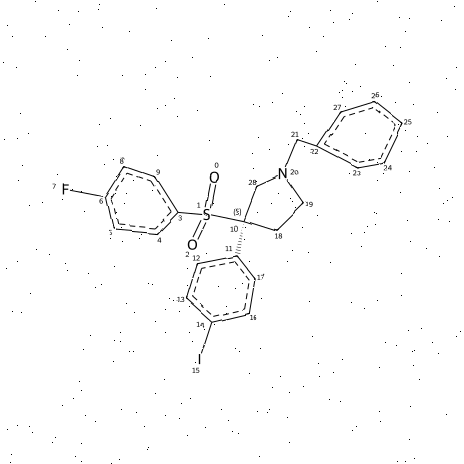 O=S(=O)(c1ccc(F)cc1)[C@]1(c2ccc(I)cc2)CCN(Cc2ccccc2)C1